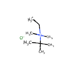 CC[N+](C)(C)C(C)(C)C.[Cl-]